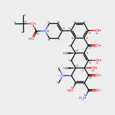 CN(C)[C@@H]1C(O)=C(C(N)=O)C(=O)[C@@]2(O)C(O)=C3C(=O)c4c(O)ccc(C5=CCN(C(=O)OC(C)(C)C)CC5)c4C[C@H]3C[C@@H]12